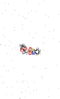 CC(=CCS(=O)(=O)c1nc2ccccc2s1)C1OCC(C)(C)CO1